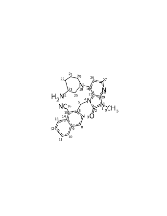 Cn1c(=O)n(Cc2ccc3ccccc3c2C#N)c2c(N3CCCC(N)C3)ccnc21